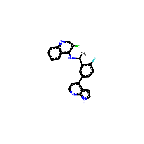 CC(Nc1c(Cl)cnc2ccccc12)c1cc(-c2ccnc3[nH]ccc23)ccc1F